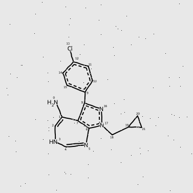 NC1=CNC=Nc2c1c(-c1ccc(Cl)cc1)nn2CC1CC1